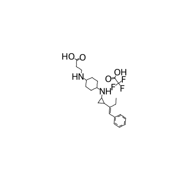 CC/C(=C\c1ccccc1)C1CC1NC1CCC(NCCC(=O)O)CC1.O=C(O)C(F)(F)F